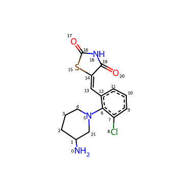 NC1CCCN(c2c(Cl)cccc2C=C2SC(=O)NC2=O)C1